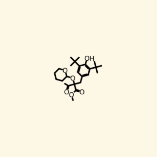 COC(=O)C(Cc1cc(C(C)(C)C)c(O)c(C(C)(C)C)c1)(OC1CCCCO1)C(C)=O